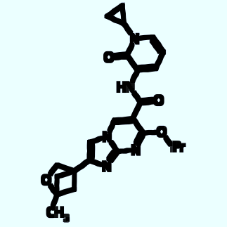 CC(C)Oc1nc2nc(C34COC(C)(C3)C4)cn2cc1C(=O)Nc1cccn(C2CC2)c1=O